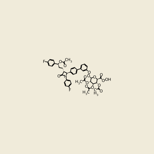 CC(=O)O[C@H]1[C@H](OC(C)=O)[C@@H](OOc2cccc(-c3ccc([C@@H]4[C@@H](CC[C@H](OC(C)=O)c5ccc(F)cc5)C(=O)N4c4ccc(F)cc4)cc3)c2)O[C@@H](C(=O)OO)[C@@H]1OC(C)=O